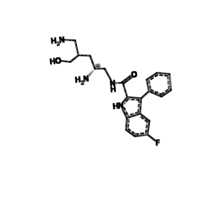 NCC(CO)C[C@@H](N)CNC(=O)c1[nH]c2ccc(F)cc2c1-c1ccccc1